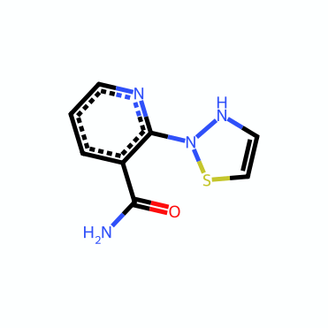 NC(=O)c1cccnc1N1NC=CS1